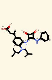 CC(C)CN(CC(C)C)c1ccc(C(C)CC(=O)O)cc1Nc1c(Nc2ccccc2)c(=O)c1=O